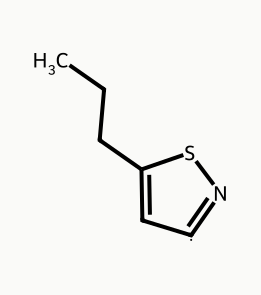 CCCc1c[c]ns1